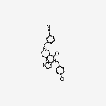 N#Cc1cccc(CN2CCc3c(c(=O)n(Cc4ccc(Cl)cc4)c4ccnn34)C2)c1